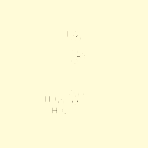 CCC(COC)OC(=O)OC1CCCCCCCCC(OC(=O)OCCOC)CCCCC1